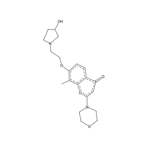 Cc1c(OCCN2CCC(O)C2)ccc2c(=O)cc(N3CCOCC3)oc12